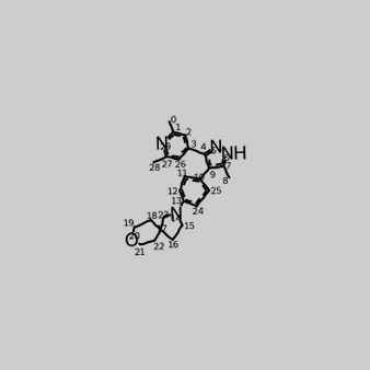 Cc1cc(-c2n[nH]c(C)c2-c2ccc(N3CCC4(CCOCC4)C3)cc2)cc(C)n1